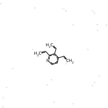 C=Cc1ccnc(C=C)c1C=C